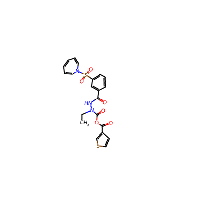 CCN(NC(=O)c1cccc(S(=O)(=O)N2C=CC=CC=C2)c1)C(=O)OC(=O)c1ccsc1